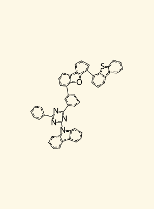 c1ccc(-c2nc(-c3cccc(-c4cccc5c4oc4c(-c6cccc7c6sc6ccccc67)cccc45)c3)nc(-n3c4ccccc4c4ccccc43)n2)cc1